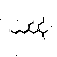 CCCN(C/C(=C/C=C/F)CI)C(C)=O